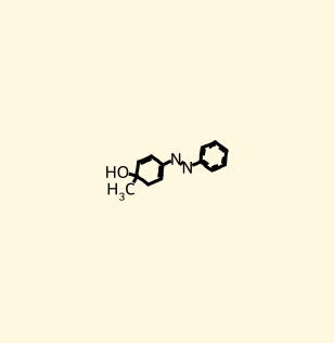 CC1(O)C=CC(N=Nc2ccccc2)=CC1